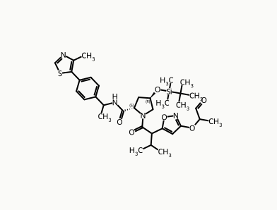 Cc1ncsc1-c1ccc(C(C)NC(=O)[C@@H]2C[C@@H](O[Si](C)(C)C(C)(C)C)CN2C(=O)C(c2cc(OC(C)C=O)no2)C(C)C)cc1